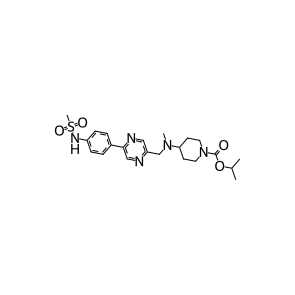 CC(C)OC(=O)N1CCC(N(C)Cc2cnc(-c3ccc(NS(C)(=O)=O)cc3)cn2)CC1